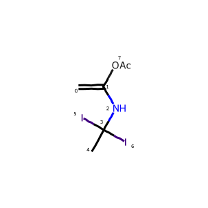 C=C(NC(C)(I)I)OC(C)=O